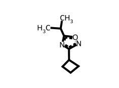 CC(C)c1nc(C2CCC2)no1